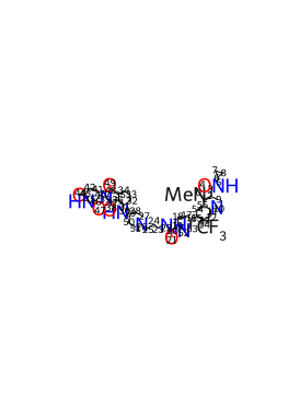 CNc1c(C(=O)NC2CC2)cnc2cc(C(F)(F)F)c(-c3ccc(C(=O)NCCCN4CCC(Nc5cccc6c5C(=O)N(C5CCC(=O)NC5=O)C6=O)CC4)nc3)cc12